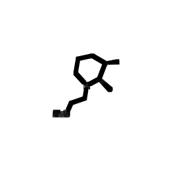 COCCN1CCC[C@@H](C)[C@H]1C